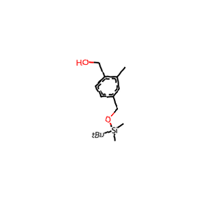 Cc1cc(CO[Si](C)(C)C(C)(C)C)ccc1CO